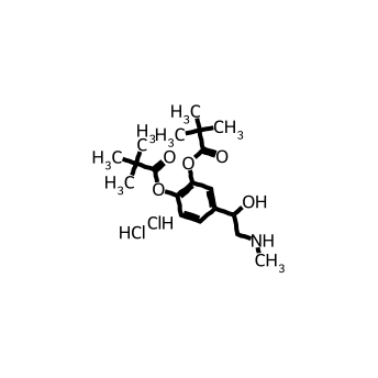 CNCC(O)c1ccc(OC(=O)C(C)(C)C)c(OC(=O)C(C)(C)C)c1.Cl.Cl